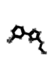 CC(=O)CSc1nnc(-c2cccc(C(F)(F)F)c2)[nH]1